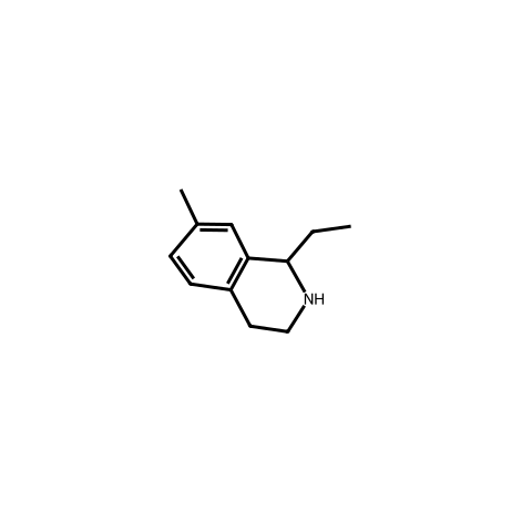 CCC1NCCc2ccc(C)cc21